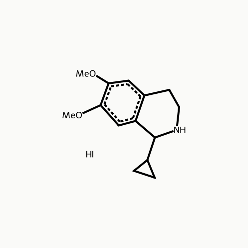 COc1cc2c(cc1OC)C(C1CC1)NCC2.I